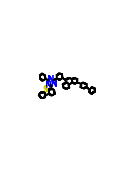 c1ccc(-c2ccc(-c3ccc4cc(-c5cccc(-c6nc(-c7ccccc7)nc(-c7cccc8c7sc7ccccc78)n6)c5)c5ccccc5c4c3)cc2)cc1